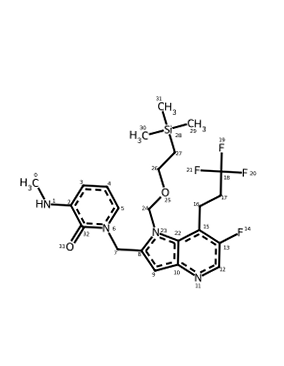 CNc1cccn(Cc2cc3ncc(F)c(CCC(F)(F)F)c3n2COCC[Si](C)(C)C)c1=O